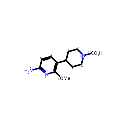 COc1nc(N)ccc1C1CCN(C(=O)O)CC1